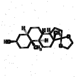 C[C@@]12CC[C@@H](O)C[C@H]1CC[C@H]1[C@H]2CC[C@]2(C)[C@@H]1CCC21OCCO1